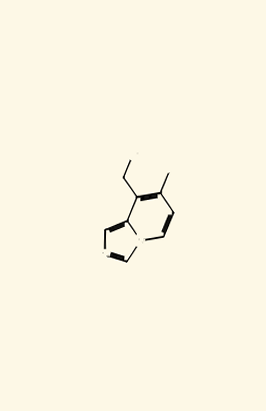 OCc1c(I)ccn2cncc12